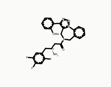 COc1ccccc1-c1nnn2c1CN(C(=O)C[C@H](N)Cc1cc(F)c(F)cc1F)Cc1ccccc1-2